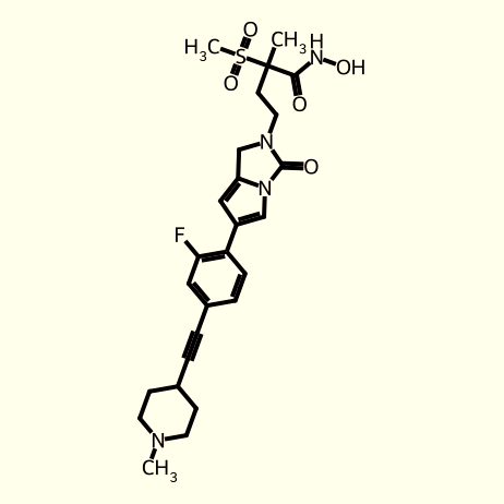 CN1CCC(C#Cc2ccc(-c3cc4n(c3)C(=O)N(CCC(C)(C(=O)NO)S(C)(=O)=O)C4)c(F)c2)CC1